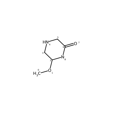 COC1CNCC(=O)[N]1